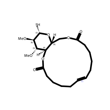 CO[C@@H]1[C@@H](OC)[C@H](S)O[C@@H]2COC(=O)CCCC/C=C/CCCCC(=O)O[C@@H]12